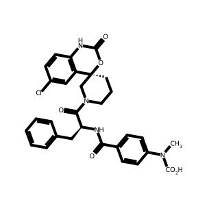 CN(C(=O)O)c1ccc(C(=O)N[C@@H](Cc2ccccc2)C(=O)N2CCC[C@@]3(C2)OC(=O)Nc2ccc(Cl)cc23)cc1